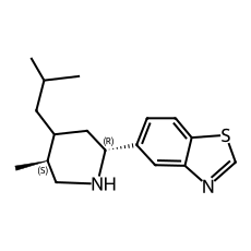 CC(C)CC1C[C@H](c2ccc3scnc3c2)NC[C@H]1C